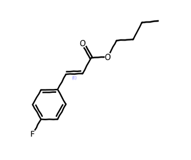 CCCCOC(=O)/C=C/c1ccc(F)cc1